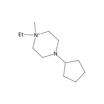 CC[N+]1(C)CCN(C2CCCC2)CC1